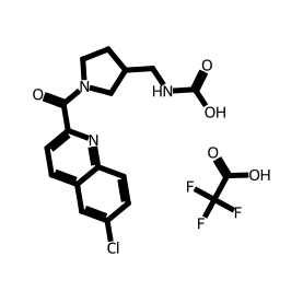 O=C(O)C(F)(F)F.O=C(O)NCC1CCN(C(=O)c2ccc3cc(Cl)ccc3n2)C1